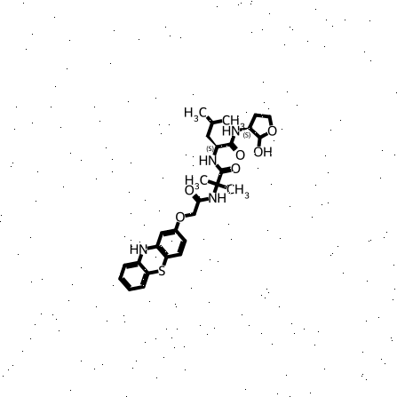 CC(C)C[C@H](NC(=O)C(C)(C)NC(=O)COc1ccc2c(c1)Nc1ccccc1S2)C(=O)N[C@H]1CCOC1O